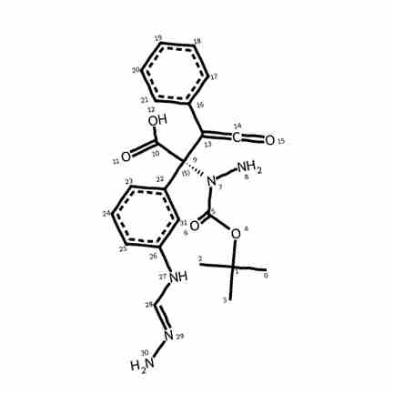 CC(C)(C)OC(=O)N(N)[C@](C(=O)O)(C(=C=O)c1ccccc1)c1cccc(NC=NN)c1